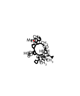 CCn1c(-c2cccnc2[C@H](C)OC)c2c3cc(ccc31)-c1cc(cc(OP(=O)(O)O)c1)C[C@H](NC(=O)[C@H](C1CCCC1)N(C)C(=O)CN(C)C(=O)[C@@H]1N[C@@H]1C1CC1)C(=O)N1CCC[C@H](N1)C(=O)OCC(C)(C)C2